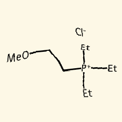 CC[P+](CC)(CC)CCOC.[Cl-]